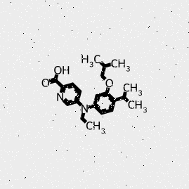 CCN(c1ccc(C(=O)O)nc1)c1ccc(C(C)C)c(OCC(C)C)c1